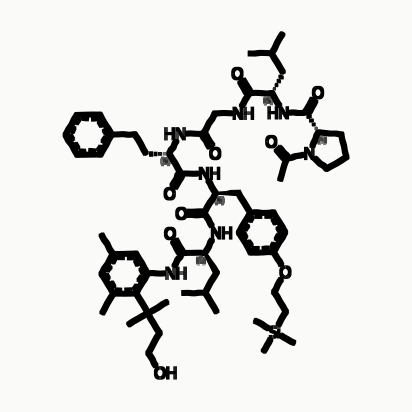 CC(=O)N1CCC[C@H]1C(=O)N[C@@H](CC(C)C)C(=O)NCC(=O)N[C@@H](CCc1ccccc1)C(=O)N[C@@H](Cc1ccc(OCC[Si](C)(C)C)cc1)C(=O)N[C@@H](CC(C)C)C(=O)Nc1cc(C)cc(C)c1C(C)(C)CCO